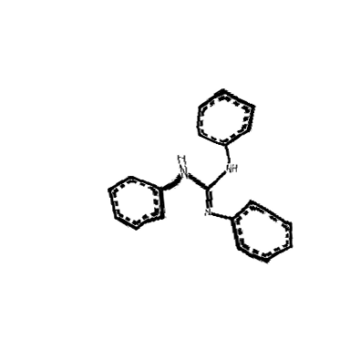 c1ccc(N=C(Nc2ccccc2)Nc2ccccc2)cc1